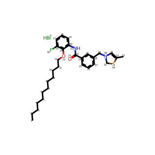 Br.CCCCCCCCCCCCOc1c(F)cccc1NC(=O)c1cccc(CN2C=C(C)SC2)c1